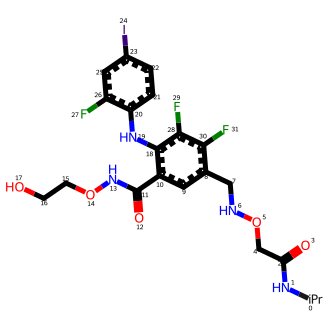 CC(C)NC(=O)CONCc1cc(C(=O)NOCCO)c(Nc2ccc(I)cc2F)c(F)c1F